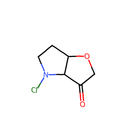 O=C1COC2CCN(Cl)C12